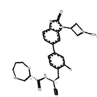 CN1CC(n2c(=O)sc3ccc(-c4ccc(C[C@@H](C#N)NC(=O)[C@@H]5CNCCCO5)c(F)c4)cc32)C1